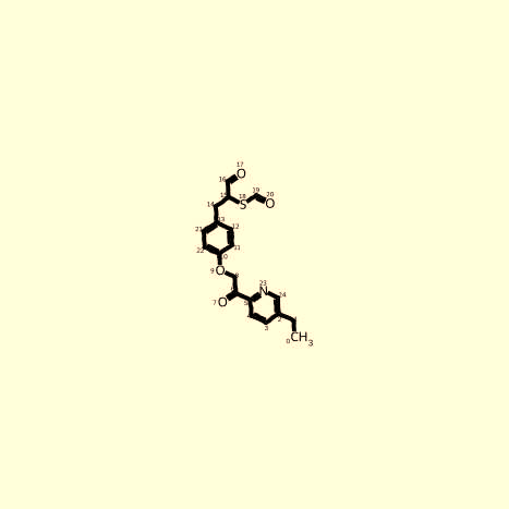 CCc1ccc(C(=O)COc2ccc(CC(C=O)SC=O)cc2)nc1